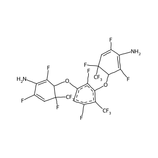 NC1=C(F)C(Oc2cc(F)c(C(F)(F)F)c(OC3C(F)=C(N)C(F)=CC3(F)C(F)(F)F)c2F)C(F)(C(F)(F)F)C=C1F